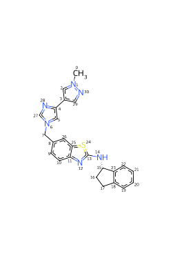 Cn1cc(-c2cn(Cc3ccc4nc(N[C@H]5CCc6ccccc65)sc4c3)cn2)cn1